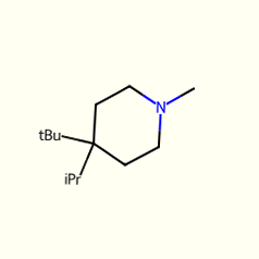 CC(C)C1(C(C)(C)C)CCN(C)CC1